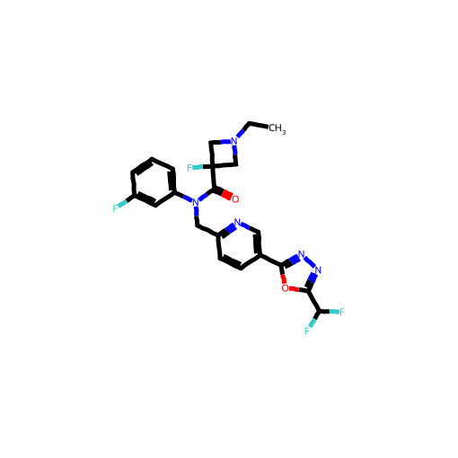 CCN1CC(F)(C(=O)N(Cc2ccc(-c3nnc(C(F)F)o3)cn2)c2cccc(F)c2)C1